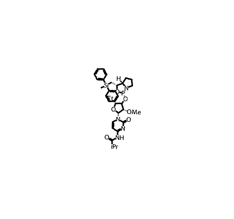 CC[C@H]1O[C@@H](n2ccc(NC(=O)C(C)C)nc2=O)[C@@H](OC)C1O[P@]1O[C@H](C[Si](C)(c2ccccc2)c2ccccc2)[C@@H]2CCCN21